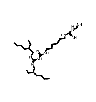 CCCCC(CC)CN=C(NCC(CC)CCCC)NC(=N)NCCCCCCNC(=N)NC=N